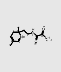 CC1=CCC(C)(CCNC(=O)C(N)=O)N=C1